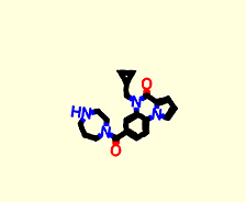 O=C(c1ccc2c(c1)n(CC1CC1)c(=O)c1cccn12)N1CCCNCC1